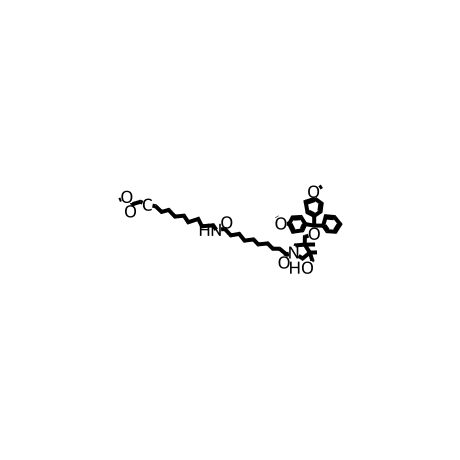 COC(=O)CCCCCCCCCCCNC(=O)CCCCCCCCC(=O)N1CC(C)(CO)C(C)(COC(c2ccccc2)(c2ccc(OC)cc2)c2ccc(OC)cc2)C1